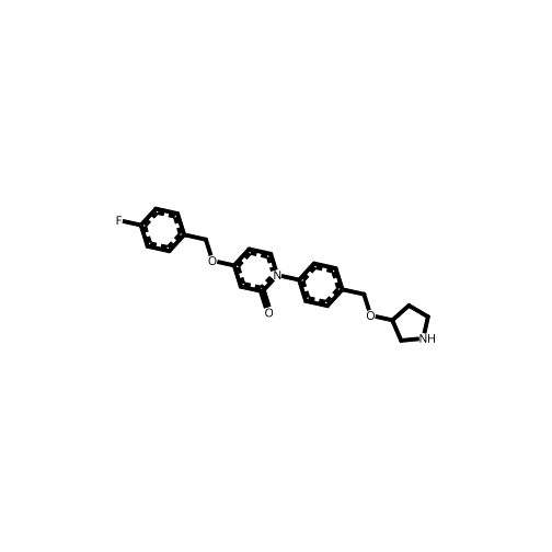 O=c1cc(OCc2ccc(F)cc2)ccn1-c1ccc(COC2CCNC2)cc1